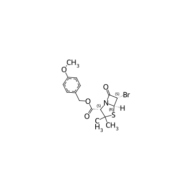 COc1ccc(COC(=O)[C@@H]2N3C(=O)[C@H](Br)[C@H]3SC2(C)C)cc1